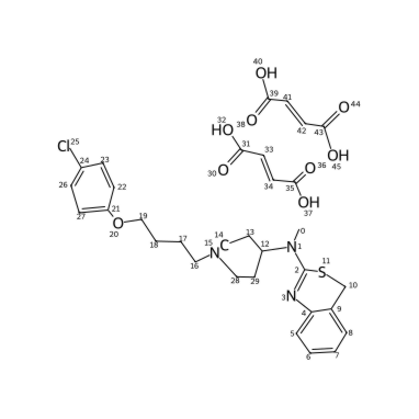 CN(C1=Nc2ccccc2CS1)C1CCN(CCCCOc2ccc(Cl)cc2)CC1.O=C(O)/C=C/C(=O)O.O=C(O)/C=C/C(=O)O